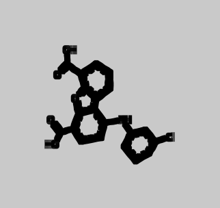 O=C(O)c1cccc2c1oc1c(C(=O)O)ccc(Nc3cccc(Cl)c3)c12